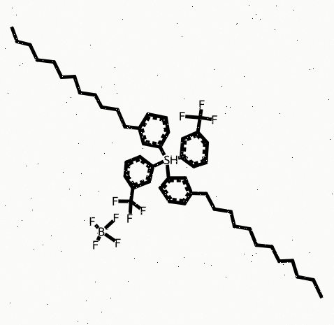 CCCCCCCCCCCCc1cccc([SH+](c2cccc(CCCCCCCCCCCC)c2)(c2cccc(C(F)(F)F)c2)c2cccc(C(F)(F)F)c2)c1.F[B-](F)(F)F